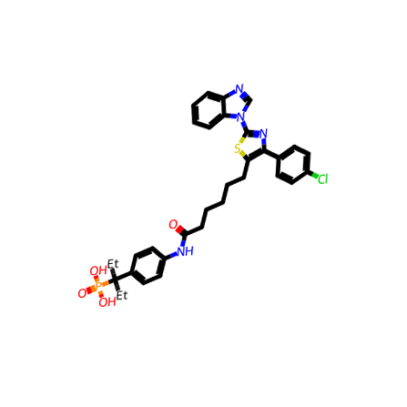 CCC(CC)(c1ccc(NC(=O)CCCCCc2sc(-n3cnc4ccccc43)nc2-c2ccc(Cl)cc2)cc1)P(=O)(O)O